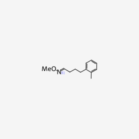 CO/N=C/CCCc1ccccc1C